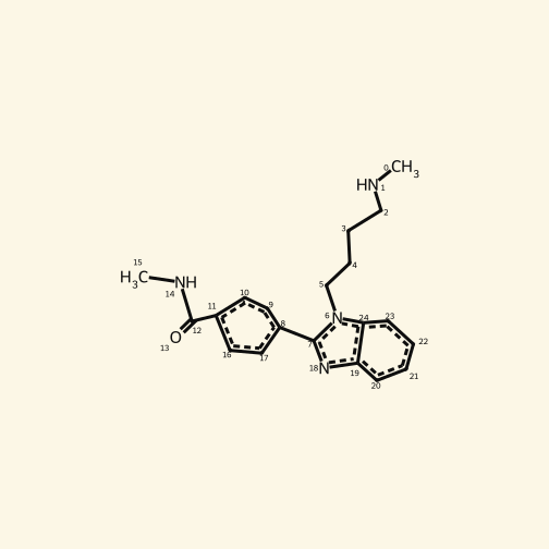 CNCCCCn1c(-c2ccc(C(=O)NC)cc2)nc2ccccc21